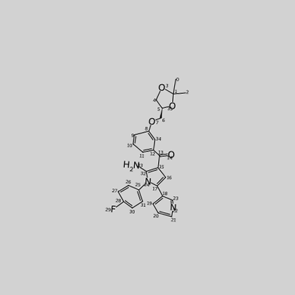 CC1(C)OC[C@H](COc2cccc(C(=O)c3cc(-c4cccnc4)n(-c4ccc(F)cc4)c3N)c2)O1